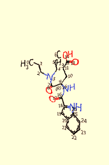 CCCN(CCC)C(=O)[C@@H](CCC(=O)O)NC(=O)c1cc2ccccc2[nH]1